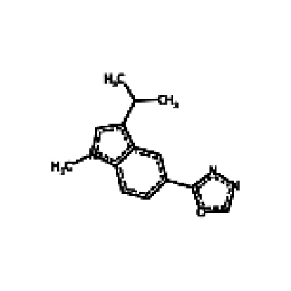 CC(C)c1cn(C)c2ccc(-c3nnco3)cc12